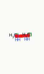 CN1Cc2c(Cl)cc(Cl)cc2C(c2cccc(S(=O)(=O)NCCOCCOCCOCCNCCCOCCOCCOCCOCCOCCOCCCCCOCCOCCONCCOCCOCCOCCNS(=O)(=O)c3cccc(C4CN(C)Cc5c(Cl)cc(Cl)cc54)c3)c2)C1